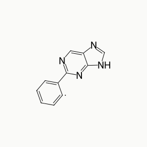 [c]1ccccc1-c1ncc2nc[nH]c2n1